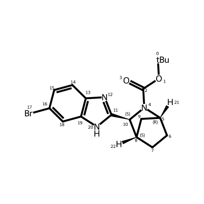 CC(C)(C)OC(=O)N1[C@@H]2CC[C@@H](C2)[C@H]1c1nc2ccc(Br)cc2[nH]1